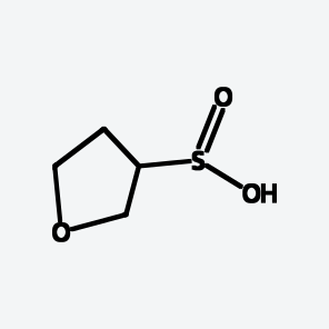 O=S(O)C1CCOC1